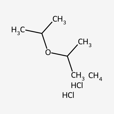 C.CC(C)OC(C)C.Cl.Cl